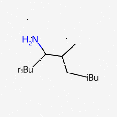 CCCCC(N)C(C)CC(C)CC